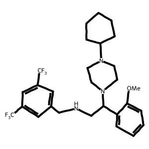 COc1ccccc1C(CNCc1cc(C(F)(F)F)cc(C(F)(F)F)c1)N1CCN(C2CCCCC2)CC1